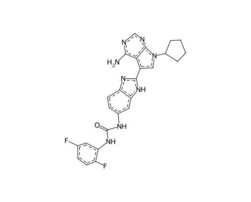 Nc1ncnc2c1c(-c1nc3ccc(NC(=O)Nc4cc(F)ccc4F)cc3[nH]1)cn2C1CCCC1